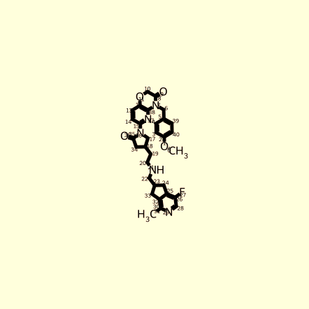 COc1ccc(CN2C(=O)COc3ccc(N4CC(CCNCC5Cc6c(F)cnc(C)c6C5)CC4=O)nc32)cc1